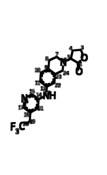 O=C1OCCC1N1CCc2ccc(Nc3cncc(CC(F)(F)F)c3)cc2C1